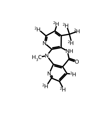 [2H]c1nc2c(c([2H])c1[2H])C(=O)Nc1c(nc([2H])c([2H])c1C([2H])([2H])[2H])N2C